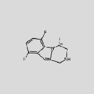 C[C@@H]1CNCc2cc3c(F)ccc(F)c3n21